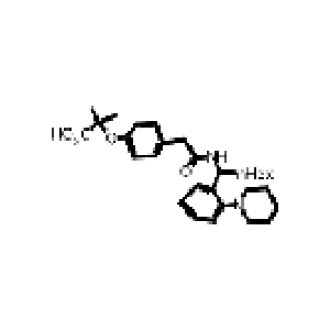 CCCCCCC(NC(=O)Cc1ccc(OC(C)(C)C(=O)O)cc1)c1ccccc1N1CCCCC1